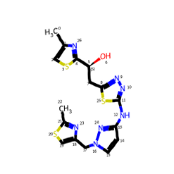 Cc1csc([C@@H](O)Cc2nnc(Nc3ccn(Cc4csc(C)n4)n3)s2)n1